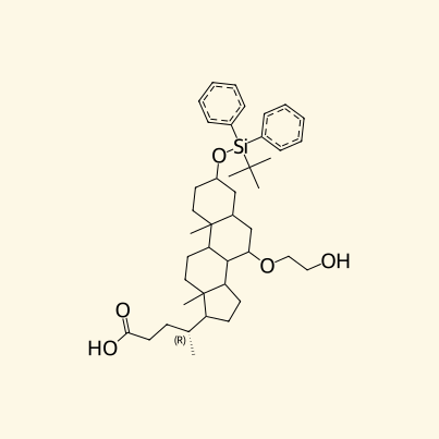 C[C@H](CCC(=O)O)C1CCC2C3C(OCCO)CC4CC(O[Si](c5ccccc5)(c5ccccc5)C(C)(C)C)CCC4(C)C3CCC21C